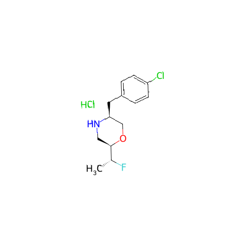 C[C@@H](F)[C@H]1CN[C@@H](Cc2ccc(Cl)cc2)CO1.Cl